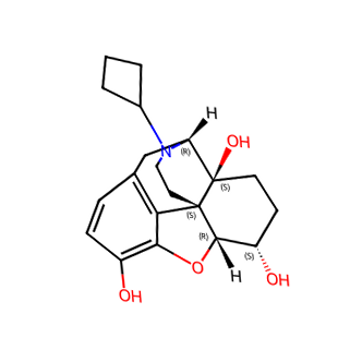 Oc1ccc2c3c1O[C@H]1[C@@H](O)CC[C@@]4(O)[C@@H](C2)N(C2CCC2)CC[C@]314